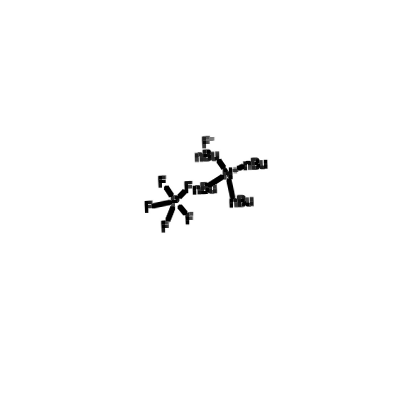 CCCC[N+](CCCC)(CCCC)CCCC.FP(F)(F)(F)F.[F-]